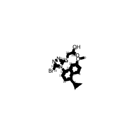 COc1ccc2c(C3CC3)ccc(-n3c(Br)nnc3SCC(=O)O)c2c1